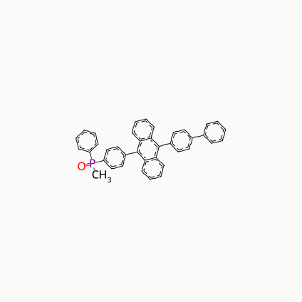 CP(=O)(c1ccccc1)c1ccc(-c2c3ccccc3c(-c3ccc(-c4ccccc4)cc3)c3ccccc23)cc1